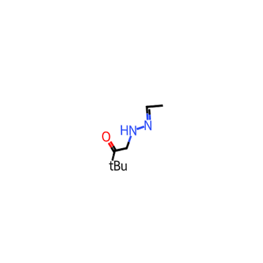 CC=NNCC(=O)C(C)(C)C